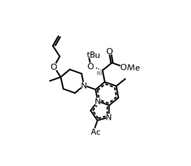 C=CCOC1(C)CCN(c2c([C@H](OC(C)(C)C)C(=O)OC)c(C)cc3nc(C(C)=O)cn23)CC1